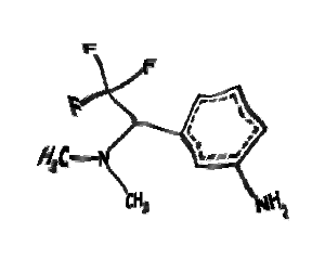 CN(C)C(c1cccc(N)c1)C(F)(F)F